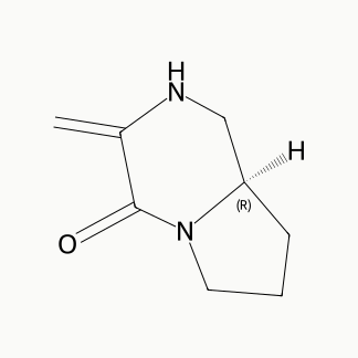 C=C1NC[C@H]2CCCN2C1=O